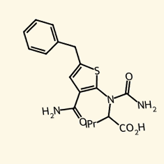 CC(C)C(C(=O)O)N(C(N)=O)c1sc(Cc2ccccc2)cc1C(N)=O